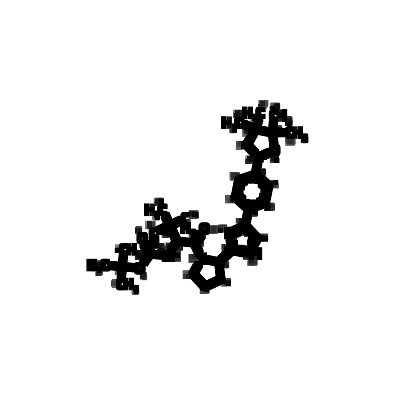 CC(C)(C)OC(=O)NC(C(=O)N1CCCC1c1nc(-c2ccc(B3CC(C)(C)C(C)(C)O3)cc2)c[nH]1)C(C)(C)C